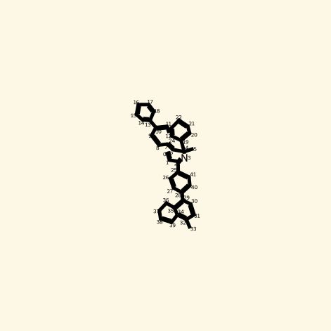 C=C/C(=N\C(C)(/C=C/C=C\C(=C/C)c1ccccc1)c1ccccc1)c1ccc(-c2ccc(C)c3c2CCC=C3)cc1